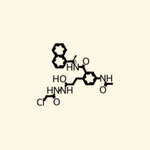 CC(=O)Nc1ccc(CCC(O)NNC(=O)CCl)c(C(=O)N[C@H](C)c2cccc3ccccc23)c1